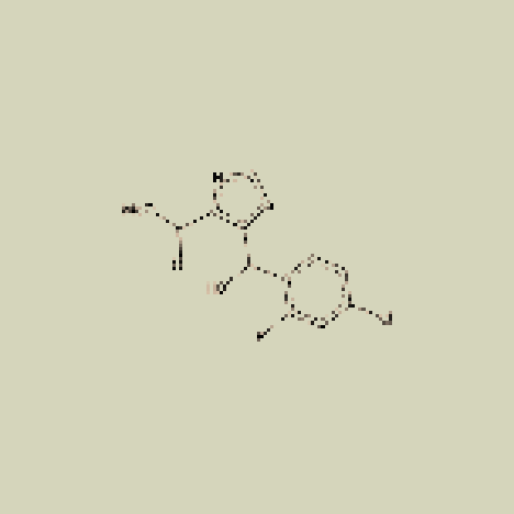 COC(=O)c1ncsc1C(O)c1ccc(Cl)cc1F